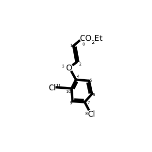 CCOC(=O)C=COc1ccc(Cl)cc1Cl